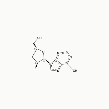 OC[C@@H]1C[C@H](F)[C@H](n2cnc3c(O)ncnc32)O1